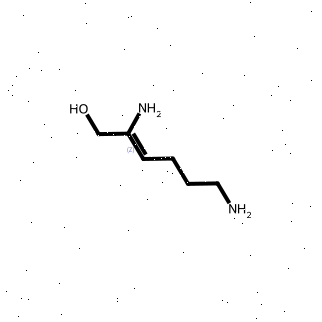 NCCC/C=C(\N)CO